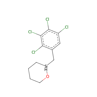 Clc1cc(C[SiH]2CCCCO2)c(Cl)c(Cl)c1Cl